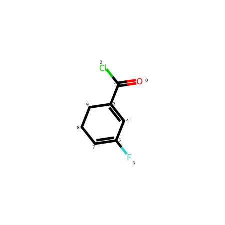 O=C(Cl)C1=CC(F)=CCC1